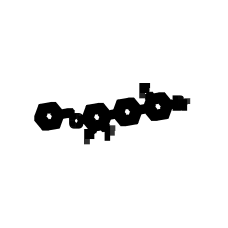 Fc1cc(Br)ccc1-c1ccc(-c2ccc(OCc3ccccc3)c(F)c2F)cc1